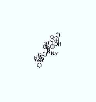 O=C(Nc1ccc(S(=O)(=O)[O-])c2c(N=Nc3ccc(S(=O)(=O)NS(=O)(=O)c4ccccc4)cc3)ccc(O)c12)c1ccccc1.[Na+]